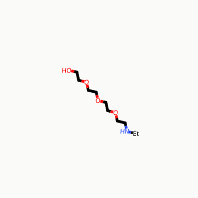 CCNCCOCCOCCOCCO